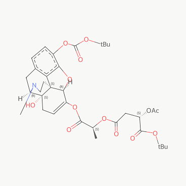 CC(=O)O[C@@H](CC(=O)O[C@@H](C)C(=O)OC1=CC[C@@]2(O)[C@H]3Cc4ccc(OC(=O)OC(C)(C)C)c5c4[C@@]2(CCN3C)[C@H]1O5)C(=O)OC(C)(C)C